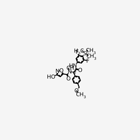 COCc1ccc([C@H](C(=O)Nc2cc(F)c([Si](C)(C)C)c(F)c2)N(C)C(=O)c2cc(O)no2)cc1